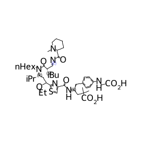 CCCCCCN(C(=O)C(/C=N/C(=O)C1CCCCN1C)[C@@H](C)CC)[C@H](CC(OCC)c1nc(C(=O)N[C@@H](Cc2ccc(NCC(=O)O)cc2)CC(C)(C)C(=O)O)cs1)C(C)C